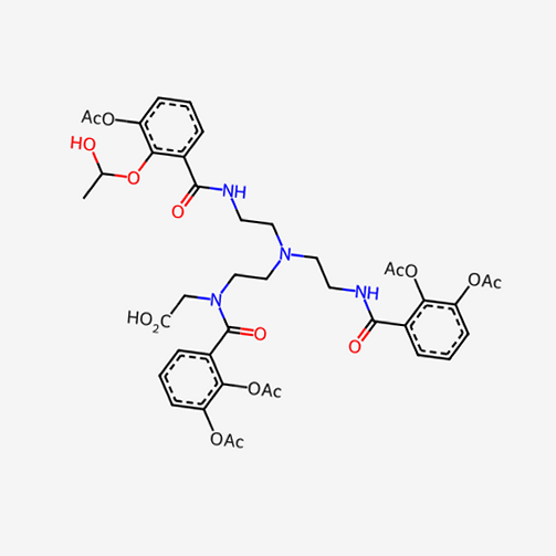 CC(=O)Oc1cccc(C(=O)NCCN(CCNC(=O)c2cccc(OC(C)=O)c2OC(C)O)CCN(CC(=O)O)C(=O)c2cccc(OC(C)=O)c2OC(C)=O)c1OC(C)=O